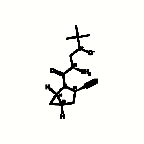 CC(C)(C)[S+]([O-])C[C@H](N)C(=O)N1[C@H](C#N)C[C@@H]2C[C@@H]21